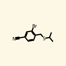 CC(C)SCc1ccc(C#N)cc1Br